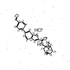 Cl.O=Cc1ccc(-c2ccc3cc(C(=O)N[C@H]4CN5CCC4CC5)sc3c2)cc1